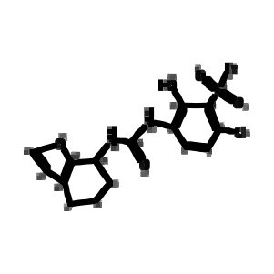 CCS(=O)(=O)c1c(Cl)ccc(NC(=O)NC2CCCc3ccoc32)c1O